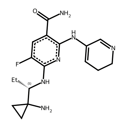 CC[C@H](Nc1nc(NC2=CCCN=C2)c(C(N)=O)cc1F)C1(N)CC1